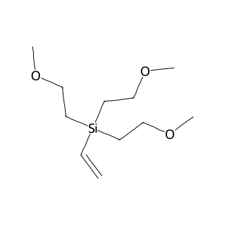 C=C[Si](CCOC)(CCOC)CCOC